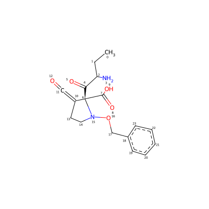 CCC(N)C(=O)[C@]1(C(=O)O)C(=C=O)CCN1OCc1ccccc1